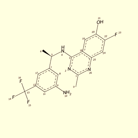 Cc1nc(N[C@H](C)c2cc(N)cc(C(F)(F)F)c2)c2cc(O)c(F)cc2n1